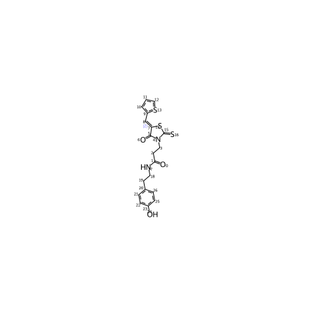 O=C(CCN1C(=O)/C(=C/c2cccs2)SC1=S)NCCc1ccc(O)cc1